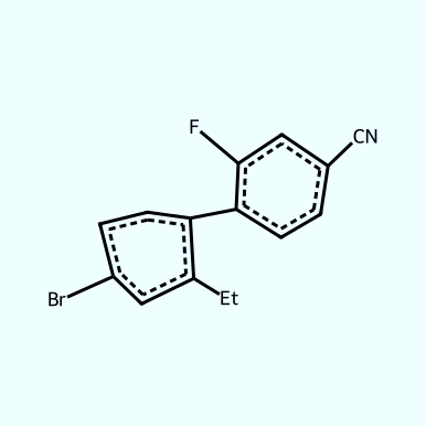 CCc1cc(Br)ccc1-c1ccc(C#N)cc1F